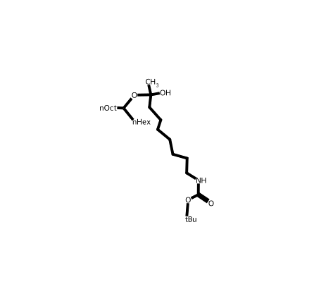 CCCCCCCCC(CCCCCC)OC(C)(O)CCCCCCCNC(=O)OC(C)(C)C